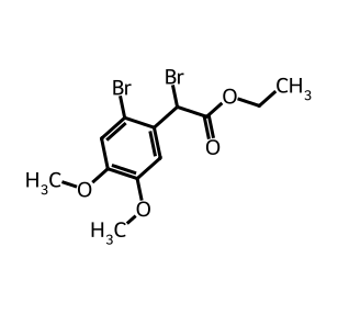 CCOC(=O)C(Br)c1cc(OC)c(OC)cc1Br